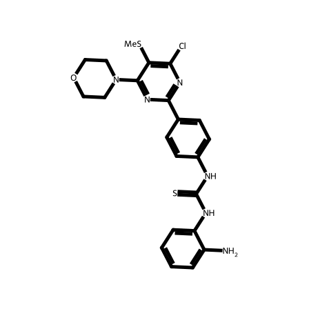 CSc1c(Cl)nc(-c2ccc(NC(=S)Nc3ccccc3N)cc2)nc1N1CCOCC1